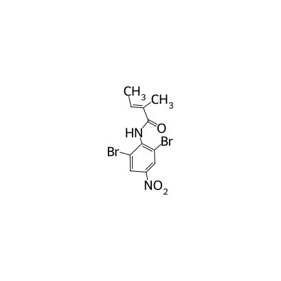 CC=C(C)C(=O)Nc1c(Br)cc([N+](=O)[O-])cc1Br